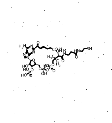 CC(C)(COP(=O)(O)OP(=O)(O)OC[C@H]1O[C@@H](n2cnc3c(N)nc(C(=O)C=CCCC(=O)O)nc32)[C@H](O)[C@@H]1OP(=O)(O)O)[C@@H](O)C(=O)NCCC(=O)NCCS